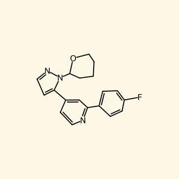 Fc1ccc(-c2cc(-c3ccnn3C3CCCCO3)ccn2)cc1